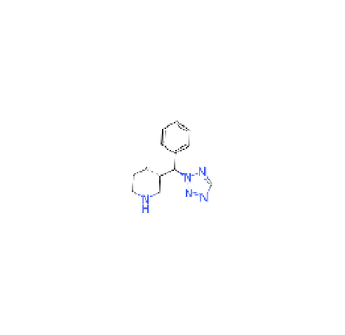 c1ccc([C@H]([C@H]2CCCNC2)n2ncnn2)cc1